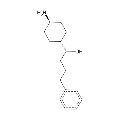 N[C@H]1CC[C@H](C(O)CCCc2ccccc2)CC1